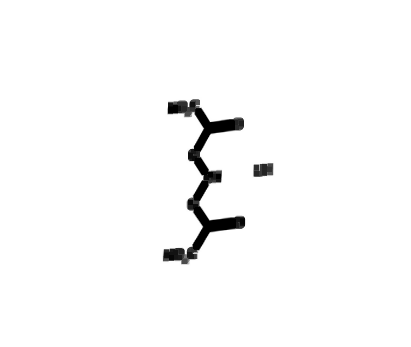 O=C(O)C(=O)OBOC(=O)C(=O)O.[LiH]